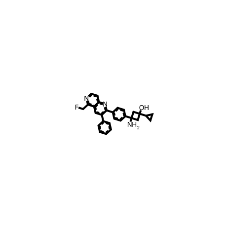 NC1(c2ccc(-c3nc4ccnc(CF)c4cc3-c3ccccc3)cc2)CC(O)(C2CC2)C1